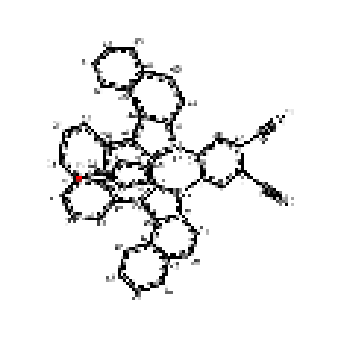 N#Cc1cc(-n2c3ccc4ccccc4c3c3c4ccccc4ccc32)c(-n2c3ccc4ccccc4c3c3c4ccccc4ccc32)cc1C#N